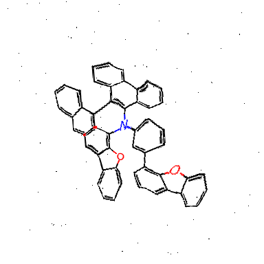 c1cc(-c2cccc3c2oc2ccccc23)cc(N(c2c(-c3cccc4ccccc34)c3ccccc3c3ccccc23)c2cccc3c2oc2ccccc23)c1